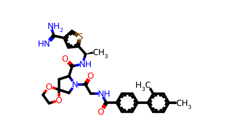 Cc1ccc(-c2ccc(C(=O)NCC(=O)N3CC4(CC3C(=O)N[C@H](C)c3cc(C(=N)N)cs3)OCCO4)cc2)c(C)c1